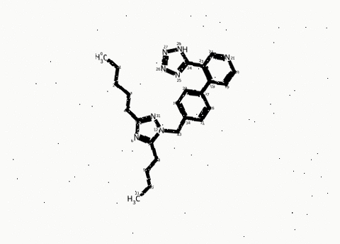 CCCCCc1nc(CCCC)n(Cc2ccc(-c3ccncc3-c3nnn[nH]3)cc2)n1